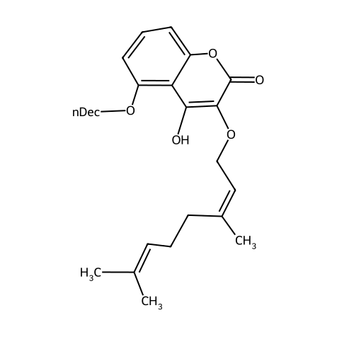 CCCCCCCCCCOc1cccc2oc(=O)c(OCC=C(C)CCC=C(C)C)c(O)c12